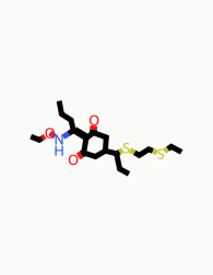 CCCC(NOCC)=C1C(=O)CC(C(CC)SCCSCC)CC1=O